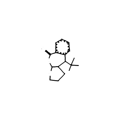 CC(C)(C)C1c2ccccc2C(=O)SC2CCCCC21